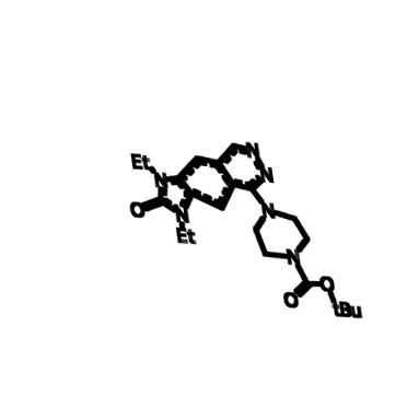 CCn1c(=O)n(CC)c2cc3c(N4CCN(C(=O)OC(C)(C)C)CC4)nncc3cc21